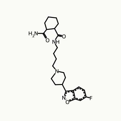 NC(=O)C1CCCCC1C(=O)NCCCCN1CCC(c2noc3cc(F)ccc23)CC1